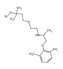 CCOC(C)(C)CCOCCNC(C)COc1c(C)cccc1C